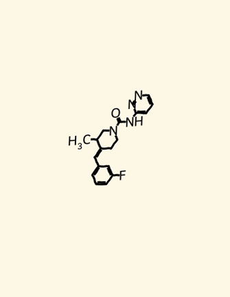 CC1CN(C(=O)Nc2cccnn2)CCC1=Cc1cccc(F)c1